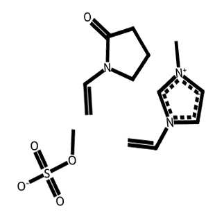 C=CN1CCCC1=O.C=Cn1cc[n+](C)c1.COS(=O)(=O)[O-]